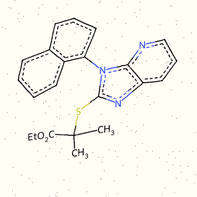 CCOC(=O)C(C)(C)Sc1nc2cccnc2n1-c1cccc2ccccc12